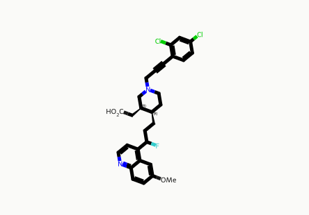 COc1ccc2nccc(C(F)CC[C@@H]3CCN(CC#Cc4ccc(Cl)cc4Cl)C[C@@H]3CC(=O)O)c2c1